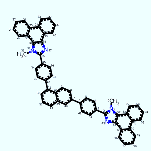 Cn1c(-c2ccc(-c3ccc4c(-c5ccc(-c6nc7c8ccccc8c8ccccc8c7n6C)cc5)cccc4c3)cc2)nc2c3ccccc3c3ccccc3c21